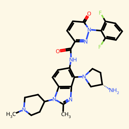 Cc1nc2c(N3CC[C@H](N)C3)c(NC(=O)c3ccc(=O)n(-c4c(F)cccc4F)n3)ccc2n1C1CCN(C)CC1